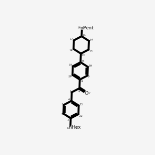 CCCCCCc1ccc(CC(=O)c2ccc(C3CCC(CCCCC)CC3)cc2)cc1